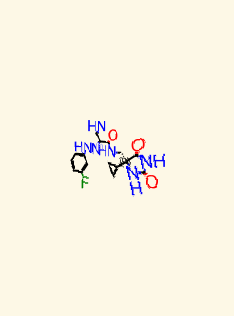 N=C/C(=N\Nc1cccc(F)c1)C(=O)NC[C@@]1(C2CC2)NC(=O)NC1=O